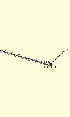 [N-]=[N+]=NCCOCCOCCOCCOCCOCCOCCOCCOCCOCCOCCOCCNC(=O)CCC(NC(=O)CCCCCCCCCCCCCCCS(=O)(=O)O)C(=O)O